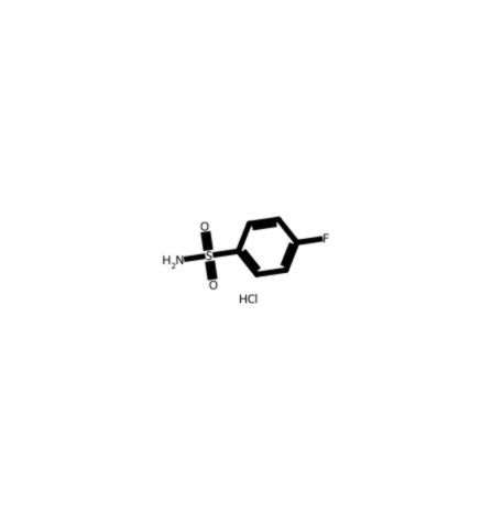 Cl.NS(=O)(=O)c1ccc(F)cc1